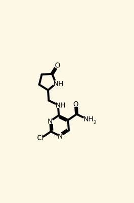 NC(=O)c1cnc(Cl)nc1NCC1CCC(=O)N1